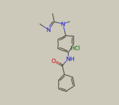 CN=C(C)N(C)c1ccc(NC(=O)c2ccccc2)cc1.Cl